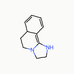 C1=CC2=C3NCCN3CCC2C=C1